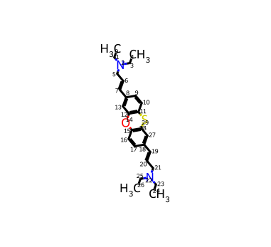 CCN(CC)CC=Cc1ccc2c(c1)Oc1ccc(C=CCN(CC)CC)cc1S2